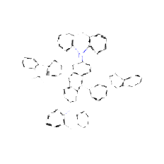 CC1(C)c2ccccc2-c2ccc(-c3c4ccc(N5c6ccccc6Cc6ccccc65)cc4c(-c4cccc(-c5ccc6ccccc6c5)c4)c4ccc(N5c6ccccc6Cc6ccccc65)cc34)cc21